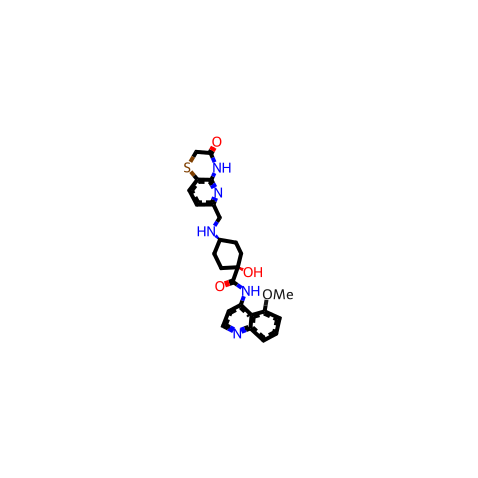 COc1cccc2nccc(NC(=O)[C@]3(O)CC[C@@H](NCc4ccc5c(n4)NC(=O)CS5)CC3)c12